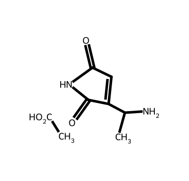 CC(=O)O.CC(N)C1=CC(=O)NC1=O